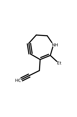 C#CCC1=C(CC)NCCC#C1